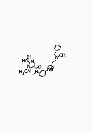 CCNc1ncc2c(n1)N(C)CCN(c1cccc(-n3cc(CCN(C)Cc4ccccc4)nn3)c1)C2=O